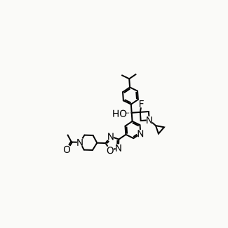 CC(=O)N1CCC(c2nc(-c3cncc([C@@](O)(c4ccc(C(C)C)cc4)C4(F)CN(C5CC5)C4)c3)no2)CC1